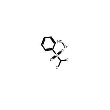 CCO.O=S(=O)(c1ccccc1)C(Cl)Cl